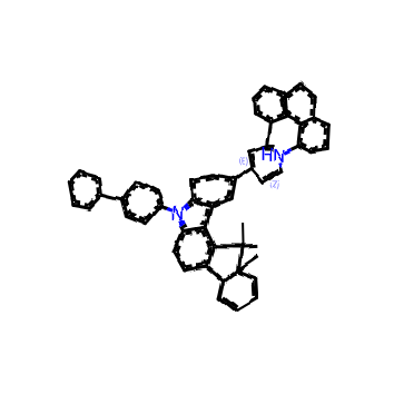 C=C(/C=C(\C=C/Nc1cccc2ccccc12)c1ccc2c(c1)c1c3c(ccc1n2-c1ccc(-c2ccccc2)cc1)C1C=CC=CC1(C)C3(C)C)c1ccccc1